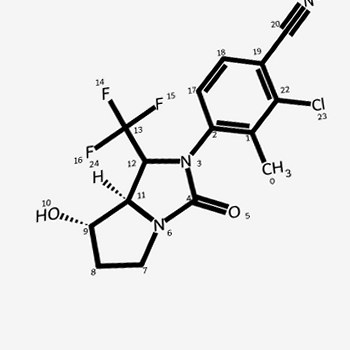 Cc1c(N2C(=O)N3CC[C@H](O)[C@H]3C2C(F)(F)F)ccc(C#N)c1Cl